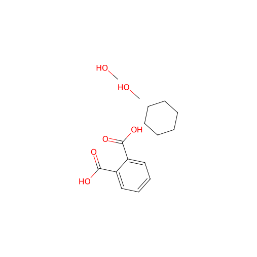 C1CCCCC1.CO.CO.O=C(O)c1ccccc1C(=O)O